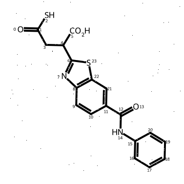 O=C(S)CC(C(=O)O)c1nc2ccc(C(=O)Nc3ccccc3)cc2s1